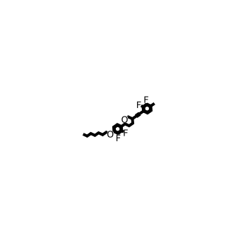 CCCCCCCOc1ccc(C2CCC(C#Cc3ccc(C)c(F)c3F)CO2)c(F)c1F